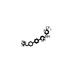 FC(F)(F)c1ccc(Nc2ccc(-c3ccc(C4CCC(Cn5ncnn5)CC4)cc3)nn2)cn1